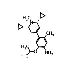 Cc1cc(N)c(OC(C)C)cc1C1=C[C@@H](C2CC2)N(C)[C@@H](C2CC2)C1